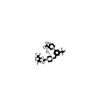 CC1(C(=O)O)CCCN(c2cc(CN3CCN(C(=O)OC(C(F)(F)F)C(F)(F)F)CC3)cc(C(F)(F)F)c2)C1